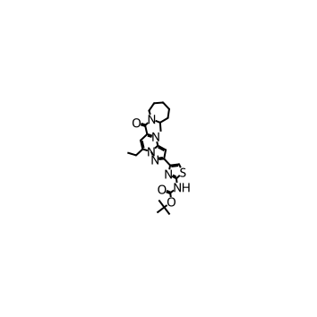 CCc1cc(C(=O)N2CCCCCC2C)nc2cc(-c3csc(NC(=O)OC(C)(C)C)n3)nn12